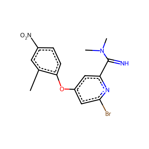 Cc1cc([N+](=O)[O-])ccc1Oc1cc(Br)nc(C(=N)N(C)C)c1